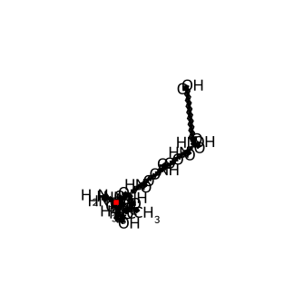 CC[C@H](C)[C@H](NC(C)=O)C(=O)CN[C@@H](CCCCNC(=O)COCCOCCNC(=O)COCCOCCNC(=O)CC[C@H](NC(=O)CCCCCCCCCCCCCCCCC(=O)O)C(=O)O)C(=O)CN(C)[C@@H](CCCNC(=N)N)C(=O)N[C@@H](Cc1ccc(O)cc1)C(N)=O